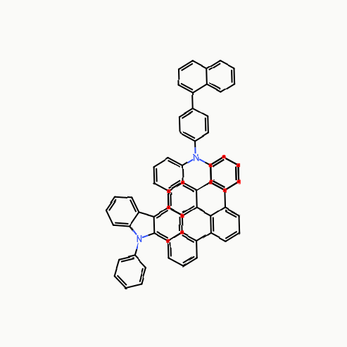 c1ccc(-c2ccccc2-c2c(-c3ccccc3)cccc2-c2cccc(N(c3ccc(-c4cccc5ccccc45)cc3)c3cccc(-c4cccc5c4c4ccccc4n5-c4ccccc4)c3)c2)cc1